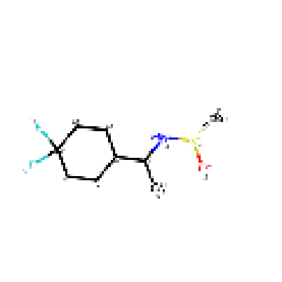 CC(C)(C)[S@+]([O-])NC(C#N)C1CCC(F)(F)CC1